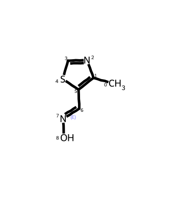 Cc1ncsc1/C=N/O